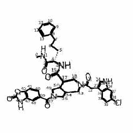 CNC(=O)[C@H](CCCc1ccccc1)NC(=O)C1CN(C(=O)Cc2c[nH]c3cc(Cl)ccc23)CC2CN(C(=O)c3ccc4oc(=O)[nH]c4c3)CC21